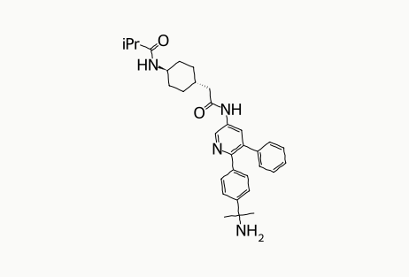 CC(C)C(=O)N[C@H]1CC[C@H](CC(=O)Nc2cnc(-c3ccc(C(C)(C)N)cc3)c(-c3ccccc3)c2)CC1